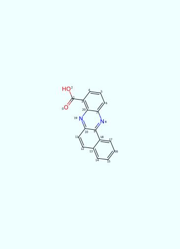 O=C(O)c1cccc2nc3c(ccc4ccccc43)nc12